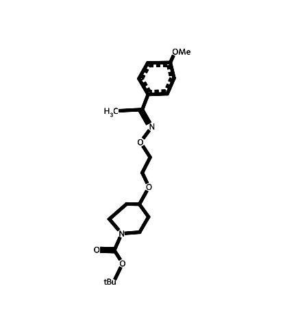 COc1ccc(C(C)=NOCCOC2CCN(C(=O)OC(C)(C)C)CC2)cc1